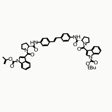 C=C(C)OC(=O)n1cc(C(=O)N2CCC[C@H]2C(=O)Nc2ccc(/C=C/c3ccc(NC(=O)[C@@H]4CCCN4C(=O)c4cn(C(=O)OC(C)(C)C)c5ccccc45)cc3)cc2)c2ccccc21